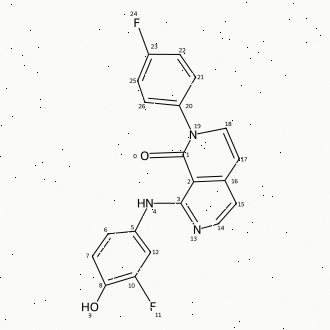 O=c1c2c(Nc3ccc(O)c(F)c3)nccc2ccn1-c1ccc(F)cc1